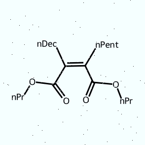 CCCCCCCCCC/C(C(=O)OCCC)=C(\CCCCC)C(=O)OCCC